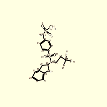 CS(=O)(=O)Nc1ccc(S(=O)(=O)N(CCC(F)(F)F)C2Cc3ccccc3S2)cc1